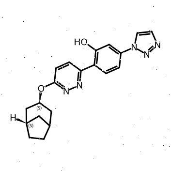 Oc1cc(-n2ccnn2)ccc1-c1ccc(O[C@H]2CC3CC[C@@H](C3)C2)nn1